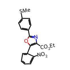 CCOC(=O)c1nc(-c2ccc(SC)cc2)oc1-c1ccccc1[N+](=O)[O-]